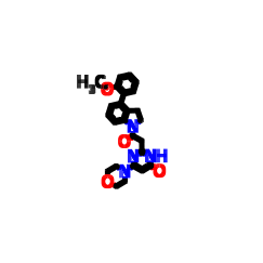 COc1ccccc1-c1cccc2c1CCN2C(=O)Cc1nc(N2CCOCC2)cc(=O)[nH]1